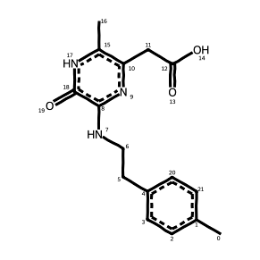 Cc1ccc(CCNc2nc(CC(=O)O)c(C)[nH]c2=O)cc1